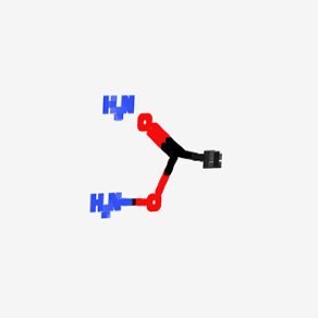 CCC(=O)ON.N